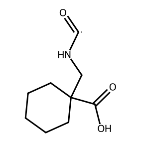 O=[C]NCC1(C(=O)O)CCCCC1